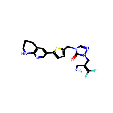 NCC(Cn1ncn(Cc2ccc(-c3cnc4c(c3)CCCN4)s2)c1=O)=C(F)F